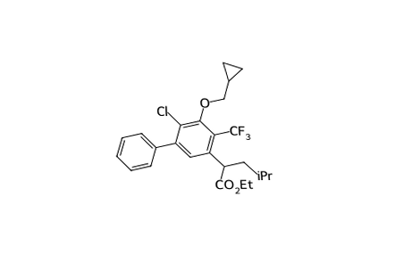 CCOC(=O)C(CC(C)C)c1cc(-c2ccccc2)c(Cl)c(OCC2CC2)c1C(F)(F)F